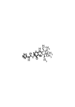 C[C@@H]1[C@@H](C)C(C)(C)[C@@H](C)C[C@H]1Nc1cnn(CC(=O)Nc2nncs2)c(=O)c1Br